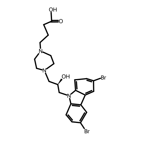 O=C(O)CCCN1CCN(C[C@@H](O)Cn2c3ccc(Br)cc3c3cc(Br)ccc32)CC1